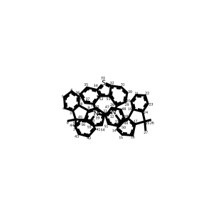 CC1(C)c2ccccc2-c2cc(N(c3cccc4c3-c3ccccc3C4(C)C)c3cccc4sc5cccc(N(c6ccccc6)c6ccccc6)c5c34)ccc21